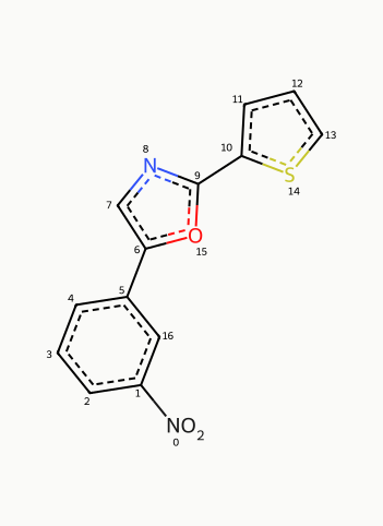 O=[N+]([O-])c1cccc(-c2cnc(-c3cccs3)o2)c1